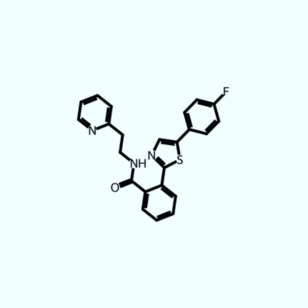 O=C(NCCc1ccccn1)c1ccccc1-c1ncc(-c2ccc(F)cc2)s1